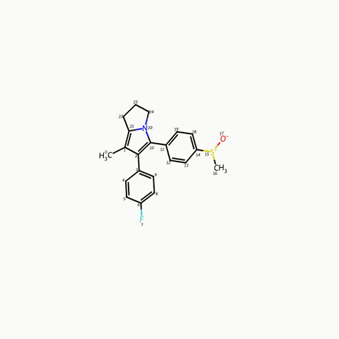 Cc1c(-c2ccc(F)cc2)c(-c2ccc([S+](C)[O-])cc2)n2c1CCC2